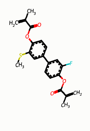 C=C(C)C(=O)Oc1ccc(-c2ccc(OC(=O)C(=C)C)c(SC)c2)cc1F